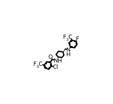 O=C(N[C@H]1CC[C@H](CNc2ccc(F)c(C(F)(F)F)c2)CC1)c1cc(C(F)(F)F)ccc1Cl